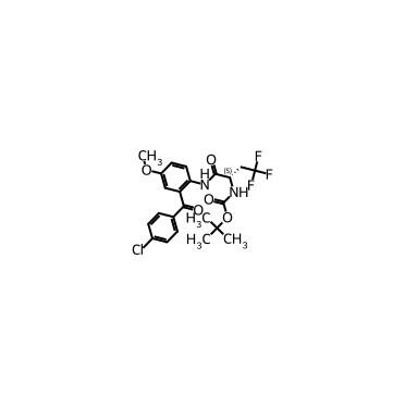 COc1ccc(NC(=O)[C@H](CC(F)(F)F)NC(=O)OC(C)(C)C)c(C(=O)c2ccc(Cl)cc2)c1